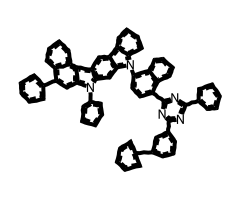 c1ccc(-c2cccc(-c3nc(-c4ccccc4)nc(-c4ccc(-n5c6ccccc6c6cc7c8c9ccccc9c(-c9ccccc9)cc8n(-c8ccccc8)c7cc65)c5ccccc45)n3)c2)cc1